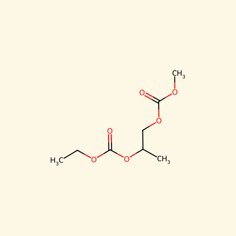 CCOC(=O)OC(C)COC(=O)OC